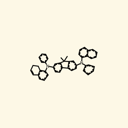 CC1(C)c2cc(N(c3ccccc3)c3cccc4c3CCC=C4)ccc2-c2ccc(N(c3ccccc3)c3cccc4ccccc34)cc21